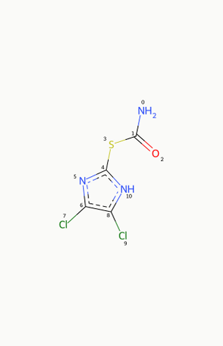 NC(=O)Sc1nc(Cl)c(Cl)[nH]1